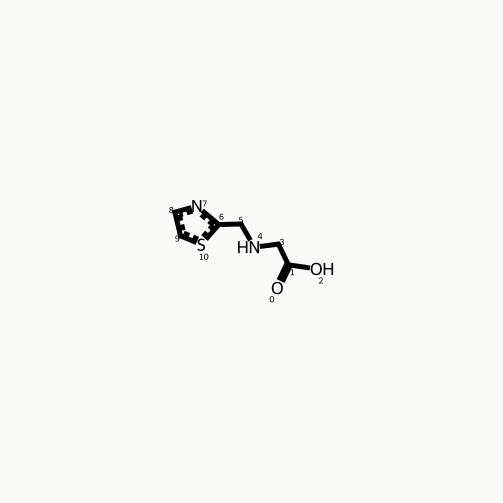 O=C(O)CNCc1nccs1